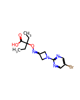 CCC(CC)(ON=C1CN(c2ncc(Br)cn2)C1)C(=O)O